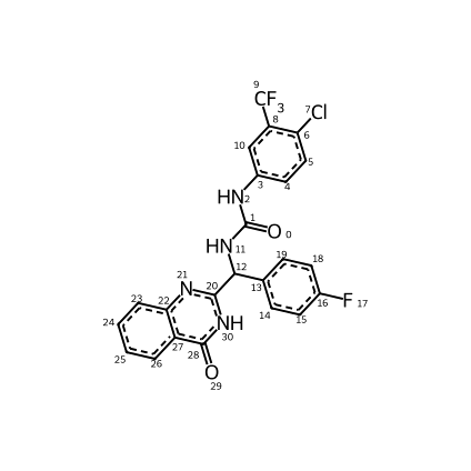 O=C(Nc1ccc(Cl)c(C(F)(F)F)c1)NC(c1ccc(F)cc1)c1nc2ccccc2c(=O)[nH]1